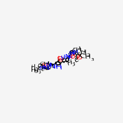 CNC(C(=O)N1[C@@H](C)CC[C@H]1c1ncc(-c2ccc3c(c2)COc2cc4c(ccc5nc([C@@H]6CC[C@H](C)N6C(=O)C(NC)C6CC(C)OC(C)C6)[nH]c54)cc2-3)[nH]1)C(C)C